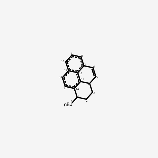 CCCCC1CCC2C=Cc3cccc4ccc1c2c34